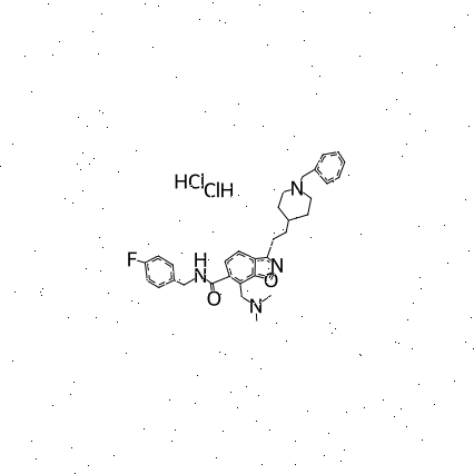 CN(C)Cc1c(C(=O)NCc2ccc(F)cc2)ccc2c(CCC3CCN(Cc4ccccc4)CC3)noc12.Cl.Cl